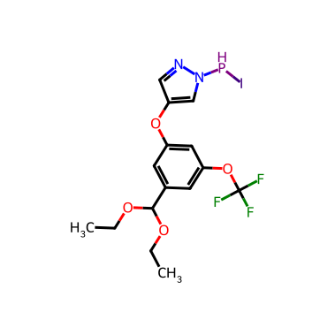 CCOC(OCC)c1cc(Oc2cnn(PI)c2)cc(OC(F)(F)F)c1